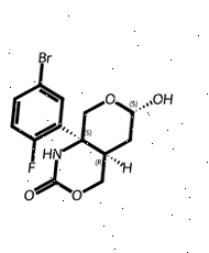 O=C1N[C@@]2(c3cc(Br)ccc3F)CO[C@H](O)C[C@H]2CO1